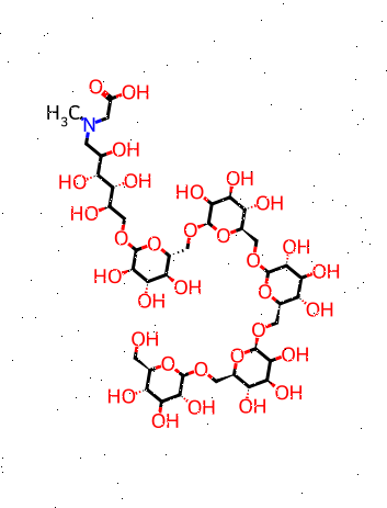 CN(CC(=O)O)CC(O)[C@@H](O)[C@H](O)[C@H](O)COC1O[C@H](CO[C@@H]2O[C@H](COC3O[C@H](CO[C@@H]4O[C@H](COC5O[C@H](CO)[C@@H](O)C(O)[C@H]5O)[C@@H](O)[C@H](O)C4O)[C@@H](O)C(O)[C@H]3O)[C@@H](O)[C@H](O)C2O)[C@@H](O)[C@H](O)[C@H]1O